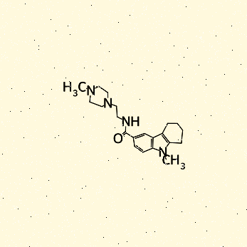 CN1CCN(CCNC(=O)c2ccc3c(c2)c2c(n3C)CCCC2)CC1